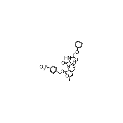 CC=CC1=C(C(=O)OCc2ccc([N+](=O)[O-])cc2)N2C(=O)[C@@H](NC(=O)COc3ccccc3)[C@@H]2SC1